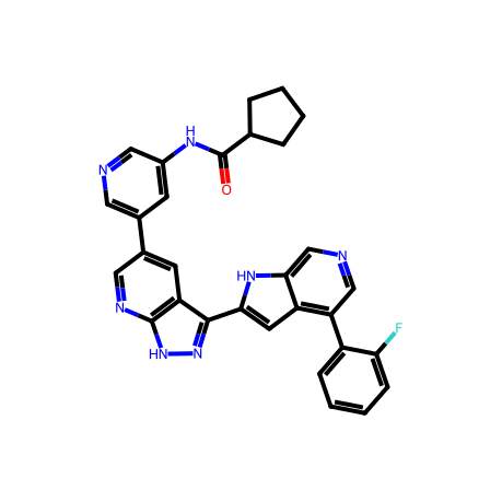 O=C(Nc1cncc(-c2cnc3[nH]nc(-c4cc5c(-c6ccccc6F)cncc5[nH]4)c3c2)c1)C1CCCC1